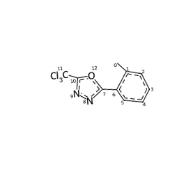 Cc1ccccc1-c1nnc(C(Cl)(Cl)Cl)o1